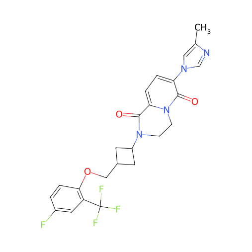 Cc1cn(-c2ccc3n(c2=O)CCN(C2CC(COc4ccc(F)cc4C(F)(F)F)C2)C3=O)cn1